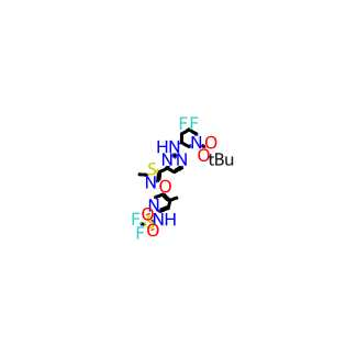 Cc1nc(Oc2cnc(NS(=O)(=O)C(F)F)cc2C)c(-c2ccnc(N[C@@H]3CN(C(=O)OC(C)(C)C)CC(F)(F)C3)n2)s1